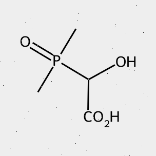 CP(C)(=O)C(O)C(=O)O